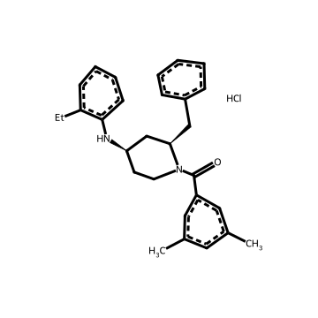 CCc1ccccc1N[C@@H]1CCN(C(=O)c2cc(C)cc(C)c2)[C@H](Cc2ccccc2)C1.Cl